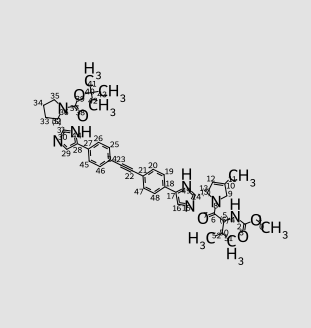 COC(=O)N[C@H](C(=O)N1CC(C)=C[C@H]1c1ncc(-c2ccc(C#Cc3ccc(-c4cnc([C@@H]5CCCN5C(=O)OC(C)(C)C)[nH]4)cc3)cc2)[nH]1)C(C)C